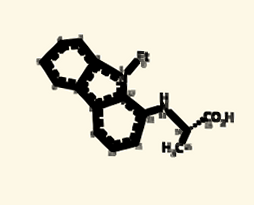 CCn1c2ccccc2c2cccc(N[C@@H](C)C(=O)O)c21